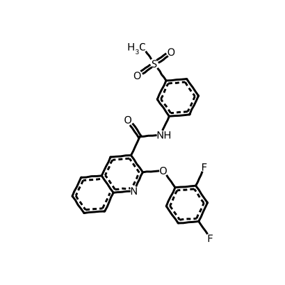 CS(=O)(=O)c1cccc(NC(=O)c2cc3ccccc3nc2Oc2ccc(F)cc2F)c1